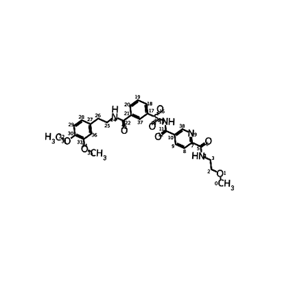 COCCNC(=O)c1ccc(C(=O)NS(=O)(=O)c2cccc(C(=O)NCCc3ccc(OC)c(OC)c3)c2)cn1